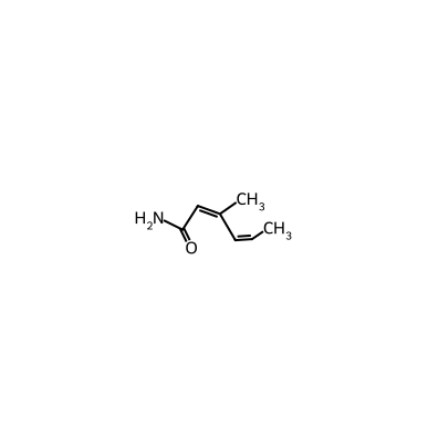 C/C=C\C(C)=C/C(N)=O